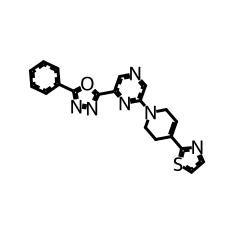 C1=C(c2nccs2)CCN(c2cncc(-c3nnc(-c4ccccc4)o3)n2)C1